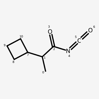 CC(C(=O)N=C=O)C1CCC1